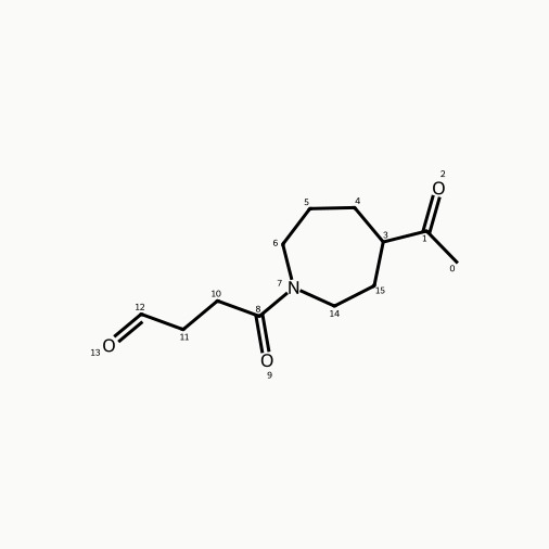 CC(=O)C1CCCN(C(=O)CCC=O)CC1